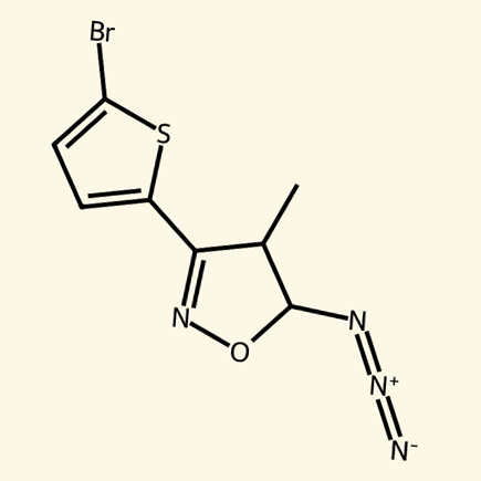 CC1C(c2ccc(Br)s2)=NOC1N=[N+]=[N-]